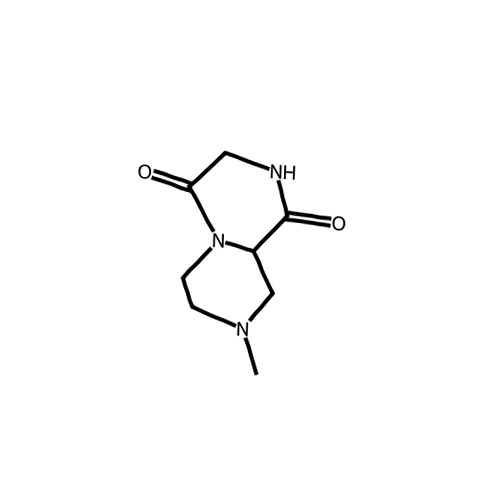 CN1CCN2C(=O)CNC(=O)C2C1